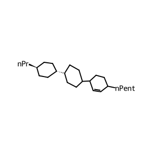 CCCCCC1C=CC(C2CCC([C@H]3CC[C@H](CCC)CC3)CC2)CC1